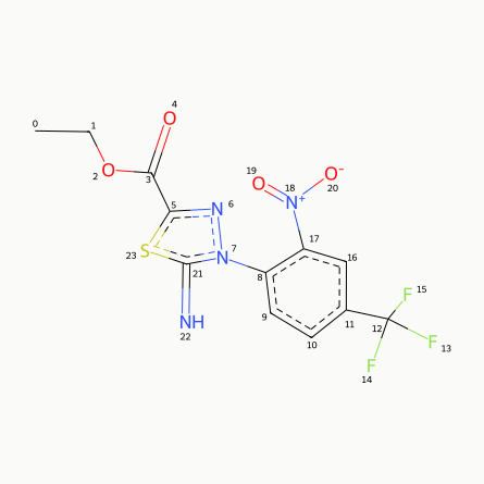 CCOC(=O)c1nn(-c2ccc(C(F)(F)F)cc2[N+](=O)[O-])c(=N)s1